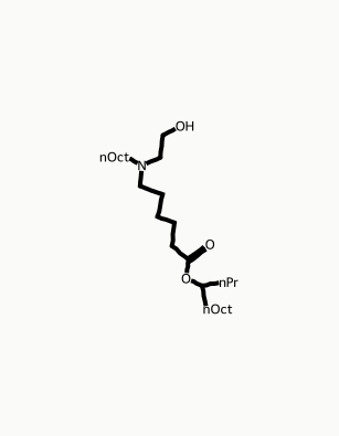 CCCCCCCCC(CCC)OC(=O)CCCCCN(CCO)CCCCCCCC